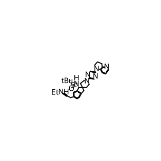 CCNC#CCc1ccc2c(c1)[C@@H](N[S@+]([O-])C(C)(C)C)C1(CCN(c3cnc(N4CCCc5ncccc54)cn3)CC1)C2